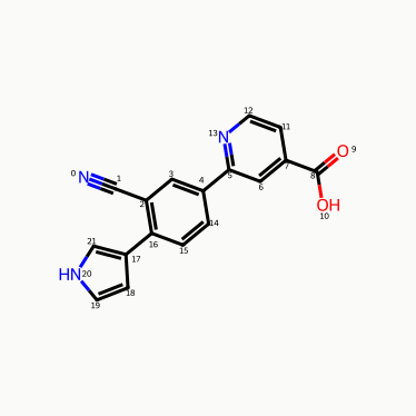 N#Cc1cc(-c2cc(C(=O)O)ccn2)ccc1-c1cc[nH]c1